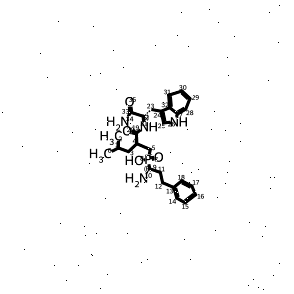 CC(C)CC(CP(=O)(O)[C@@H](N)CCc1ccccc1)C(=O)N[C@@H](Cc1c[nH]c2ccccc12)C(N)=O